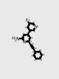 Nc1cc(-c2cncc(F)c2)cc(C#Cc2ccccc2)n1